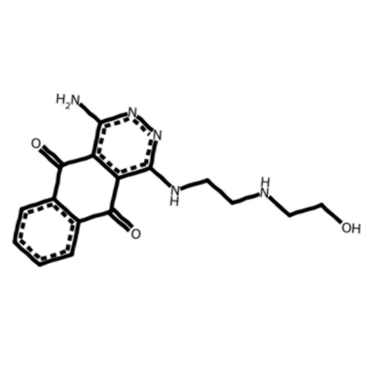 Nc1nnc(NCCNCCO)c2c1C(=O)c1ccccc1C2=O